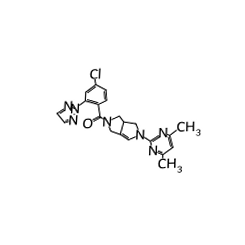 Cc1cc(C)nc(N2C=C3CN(C(=O)c4ccc(Cl)cc4-n4nccn4)CC3C2)n1